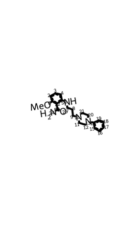 COc1cccc(NCCCN2CCN(c3ccccc3)CC2)c1C(N)=O